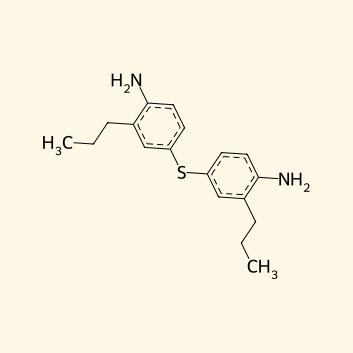 CCCc1cc(Sc2ccc(N)c(CCC)c2)ccc1N